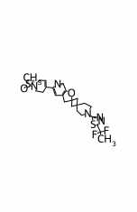 C[S+]([O-])N1CC=C(c2cc3c(cn2)OC2(C3)CC3(CCN(c4nnc(C(C)(F)F)s4)CC3)C2)CC1